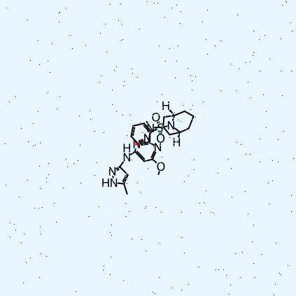 COc1cc(Nc2cc(C)[nH]n2)nc(N(C)[C@@H]2C[C@H]3CCC[C@@H](C2)N3S(=O)(=O)c2ccccn2)n1